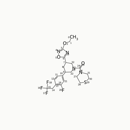 CCOc1noc(C2CC(c3ccc(CC(F)(F)F)c(F)c3)CN(C(=O)N3CCSCC3)C2)n1